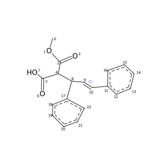 COC(=O)C(C(=O)O)C(/C=C/c1ccccc1)c1ccccc1